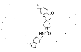 COc1ccc2c(c1)OC1(CCN(C(=O)NCc3ccc4c(ccn4C)c3)CC1)CC2=O